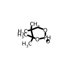 CC1(C)CO[PH](=O)OC1(C)C